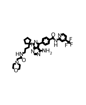 Nc1ncnc2c1c(-c1ccc(C(=O)Nc3cc(C(F)(F)F)ccn3)cc1)nn2C1(CCCNC(=O)CN2CCOCC2)CCCC1